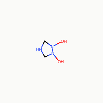 ON1CNCN1O